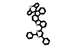 c1ccc(-c2cc(-c3cccc4c3sc3ccc5c(c34)-c3ccccc3C53c4ccccc4Oc4ccccc43)nc(-c3ccccc3)n2)cc1